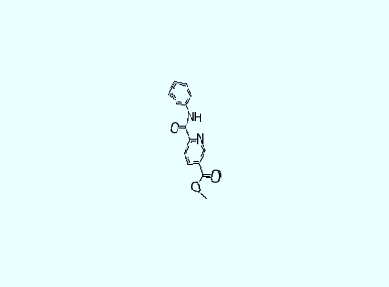 COC(=O)c1ccc(C(=O)Nc2ccccc2)nc1